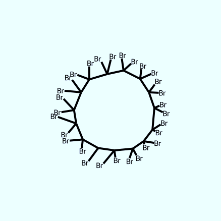 Br[C]1C(Br)(Br)C(Br)(Br)C(Br)(Br)C(Br)(Br)C(Br)(Br)C(Br)(Br)C(Br)(Br)C(Br)(Br)C(Br)(Br)C(Br)(Br)C(Br)(Br)C(Br)(Br)C(Br)(Br)C1(Br)Br